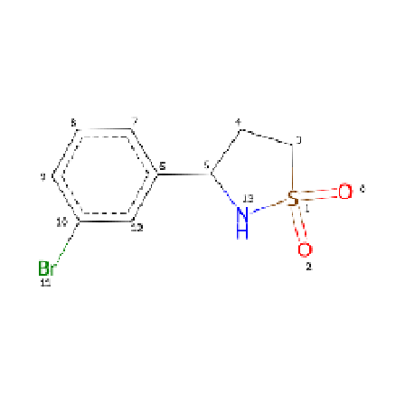 O=S1(=O)CCC(c2cccc(Br)c2)N1